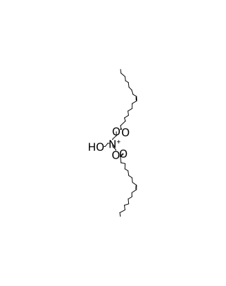 CCCCCCCC/C=C\CCCCCCCC(=O)OCC[N+](C)(CCO)CCOC(=O)CCCCCCC/C=C\CCCCCCCC